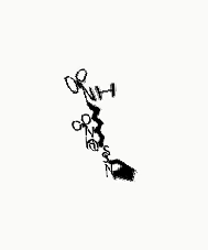 COC(=O)NCCCCC(CC(=O)SSc1ccccn1)NC(=O)OC